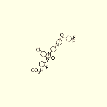 O=C(O)c1cccc(Cn2c(=O)n(-c3ccc(N4CCN(C(=O)C5CCC(F)(F)CC5)CC4)cc3)c3cc(Cl)ccc32)c1F